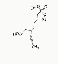 CC#CC(CCCCP(=O)(OCC)OCC)CS(=O)(=O)O